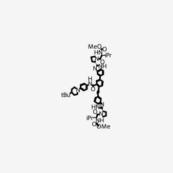 COC(=O)N[C@H](C(=O)N1CCC[C@H]1c1nc2cc(C#Cc3ccc(-c4ccc5[nH]c([C@@H]6CCCN6C(=O)[C@@H](NC(=O)OC)C(C)C)nc5c4)cc3C(=O)Nc3ccc(N4CCC(C(C)(C)C)CC4)cc3)ccc2[nH]1)C(C)C